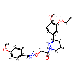 CCOc1cc(C2=NN(C(=O)CO/N=C/c3ccc(OC)cc3)CCC2)ccc1OC